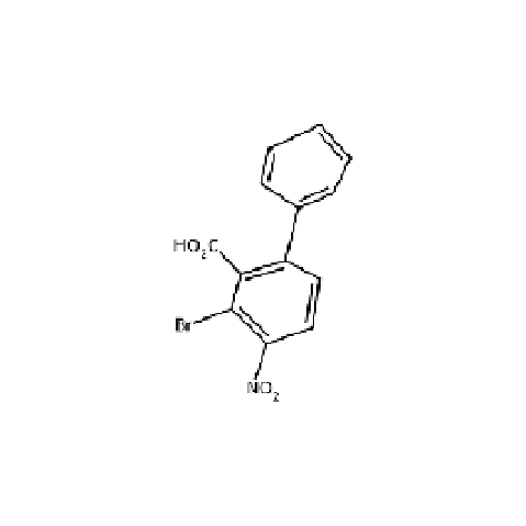 O=C(O)c1c(-c2ccccc2)ccc([N+](=O)[O-])c1Br